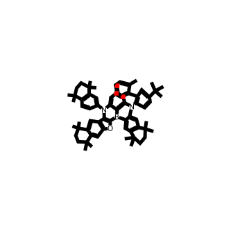 Cc1cc2c3c(c1)N(c1ccc4c(c1)C(C)(C)CCC4(C)C)c1c(oc4cc5c(cc14)C(C)(C)CCC5(C)C)B3c1cc3c(cc1N2c1ccc(C(C)(C)C)cc1-c1ccccc1C)C(C)(C)CCC3(C)C